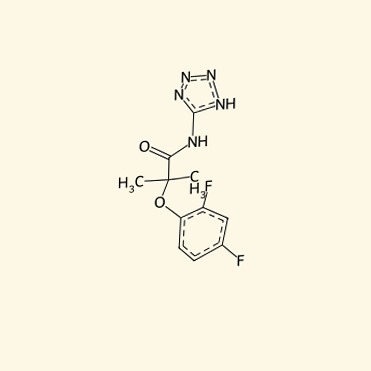 CC(C)(Oc1ccc(F)cc1F)C(=O)Nc1nnn[nH]1